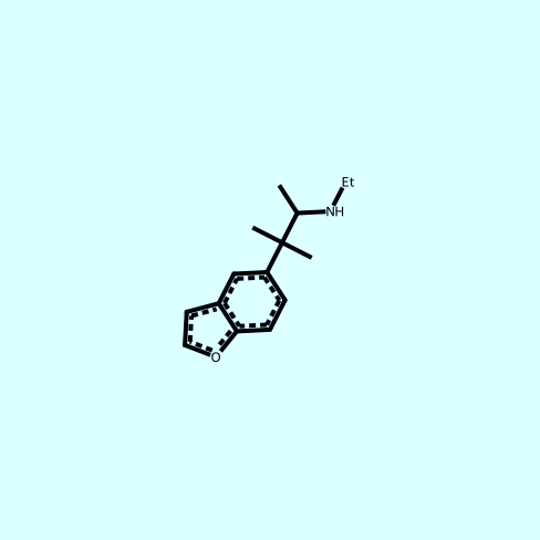 CCNC(C)C(C)(C)c1ccc2occc2c1